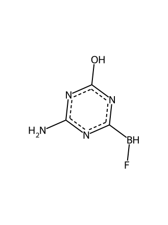 Nc1nc(O)nc(BF)n1